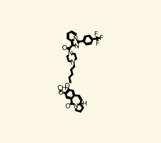 COc1cc2c(cc1OCCCCCN1CCN(C(=O)c3nc(-c4ccc(C(F)(F)F)cc4)n4ccccc34)CC1)C=C[C@@H]1CCCN1C2=O